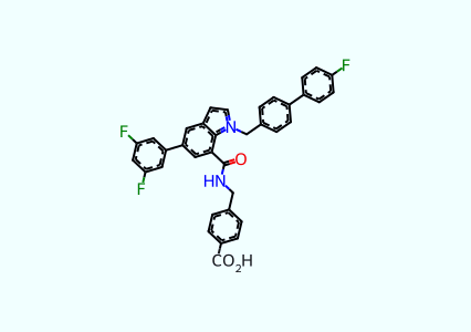 O=C(O)c1ccc(CNC(=O)c2cc(-c3cc(F)cc(F)c3)cc3ccn(Cc4ccc(-c5ccc(F)cc5)cc4)c23)cc1